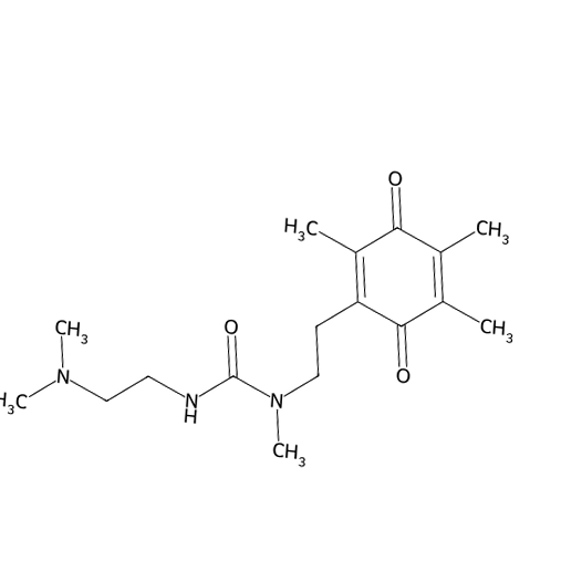 CC1=C(C)C(=O)C(CCN(C)C(=O)NCCN(C)C)=C(C)C1=O